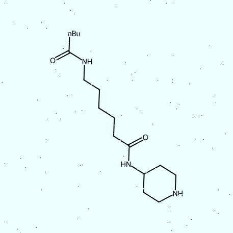 CCCCC(=O)NCCCCCC(=O)NC1CCNCC1